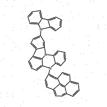 c1ccc2c(c1)B1c3cc(-n4c5ccccc5c5ccccc54)ccc3-c3cccc(c31)N2c1ccc2ccc3cccc4ccc1c2c34